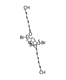 C#CC#CC#CC#CC#CC#COc1cc(Br)sc1-c1ccc(-c2sc(Br)cc2OC#CC#CC#CC#CC#CC#C)c2nsnc12